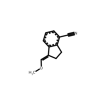 COC=C1CCc2c(C#N)cccc21